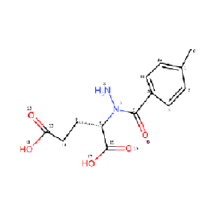 Cc1ccc(C(=O)N(N)[C@@H](CCC(=O)O)C(=O)O)cc1